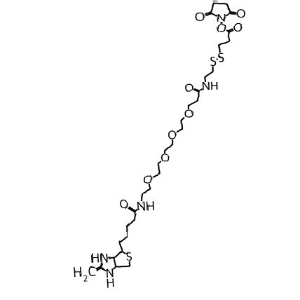 C=C1NC2CSC(CCCCC(=O)NCCOCCOCCOCCOCCC(=O)NCCSSCCC(=O)ON3C(=O)CCC3=O)C2N1